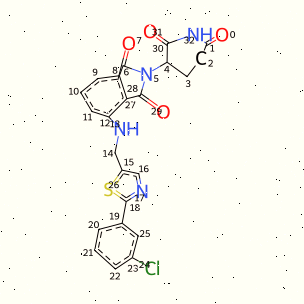 O=C1CCC(N2C(=O)c3cccc(NCc4cnc(-c5cccc(Cl)c5)s4)c3C2=O)C(=O)N1